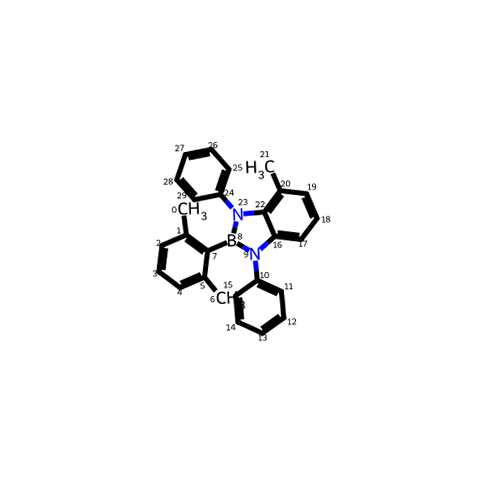 Cc1cccc(C)c1B1N(c2ccccc2)c2cccc(C)c2N1c1ccccc1